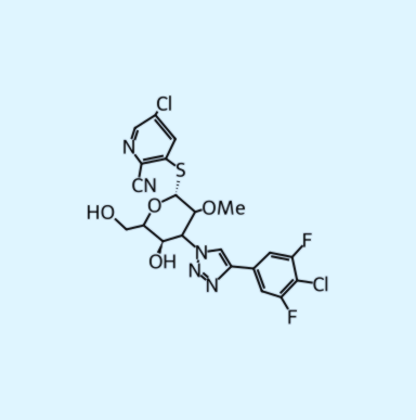 COC1C(n2cc(-c3cc(F)c(Cl)c(F)c3)nn2)[C@@H](O)C(CO)O[C@@H]1Sc1cc(Cl)cnc1C#N